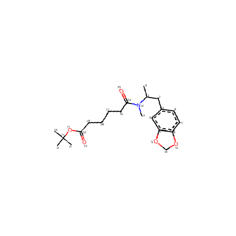 CC(Cc1ccc2c(c1)OCO2)N(C)C(=O)CCCCC(=O)OC(C)(C)C